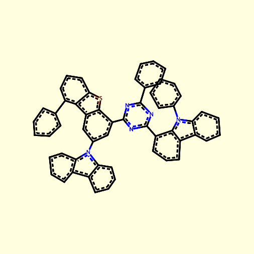 c1ccc(-c2nc(-c3cc(-n4c5ccccc5c5ccccc54)cc4c3sc3cccc(-c5ccccc5)c34)nc(-c3cccc4c5ccccc5n(-c5ccccc5)c34)n2)cc1